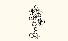 Cc1cc(COc2ccc(C(=O)NCC3(C4CCN(S(C)(=O)=O)CC4)C(=O)NC(=O)NC3=O)cc2)c2ccccc2n1